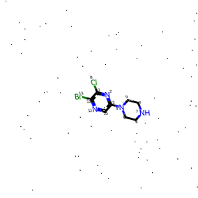 Clc1nc(N2CCNCC2)cnc1Br